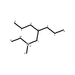 CCCC(CCC)CN(C)CC